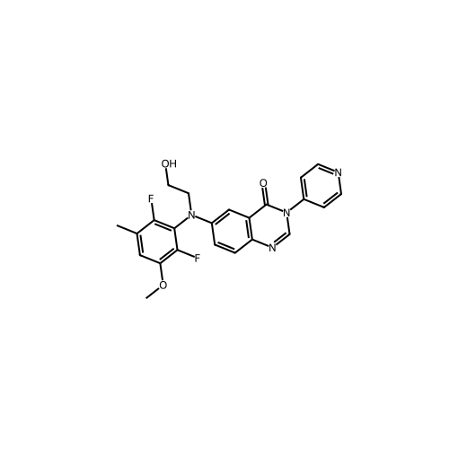 COc1cc(C)c(F)c(N(CCO)c2ccc3ncn(-c4ccncc4)c(=O)c3c2)c1F